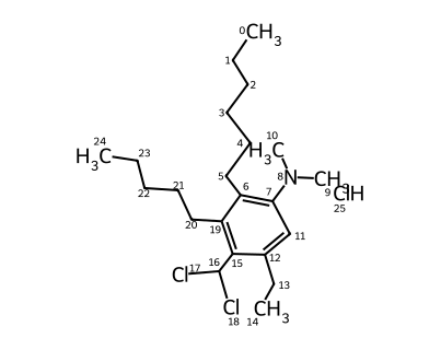 CCCCCCc1c(N(C)C)cc(CC)c(C(Cl)Cl)c1CCCCC.Cl